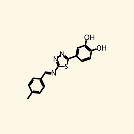 Cc1ccc(C=Nc2nnc(-c3ccc(O)c(O)c3)s2)cc1